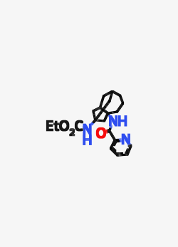 CCOC(=O)NC12CC3CCCC(NC(=O)c4ccccn4)(C1)C(C3)C2